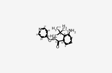 CC(C)(C)c1c(N)cccc1C(=O)OOc1ccncc1